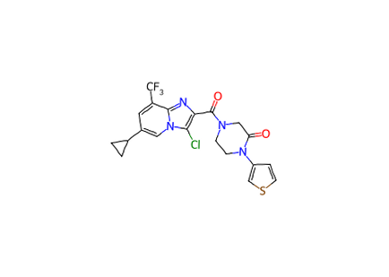 O=C(c1nc2c(C(F)(F)F)cc(C3CC3)cn2c1Cl)N1CCN(c2ccsc2)C(=O)C1